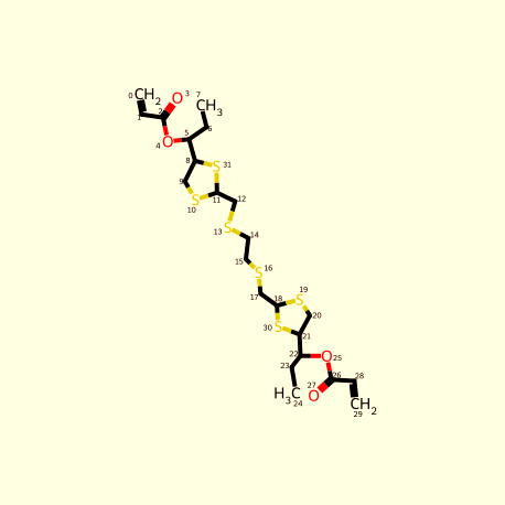 C=CC(=O)OC(CC)C1CSC(CSCCSCC2SCC(C(CC)OC(=O)C=C)S2)S1